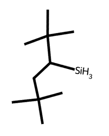 CC(C)(C)CC([SiH3])C(C)(C)C